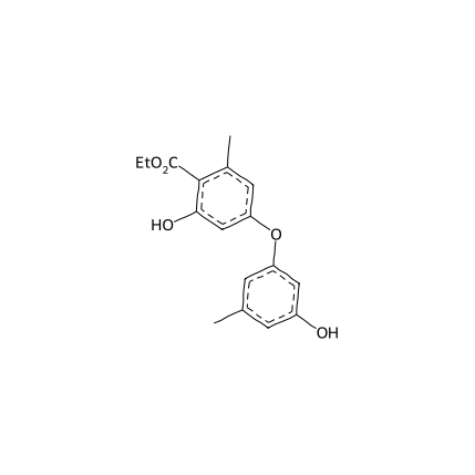 CCOC(=O)c1c(C)cc(Oc2cc(C)cc(O)c2)cc1O